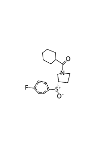 O=C(C1CCCCC1)N1CC[C@H]([S+]([O-])c2ccc(F)cc2)C1